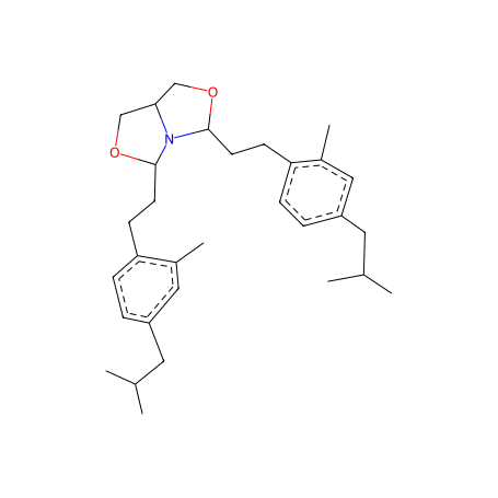 Cc1cc(CC(C)C)ccc1CCC1OCC2COC(CCc3ccc(CC(C)C)cc3C)N21